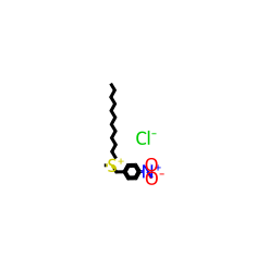 CCCCCCCCCCCC[S+](C)Cc1ccc([N+](=O)[O-])cc1.[Cl-]